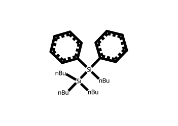 CCCC[Si](CCCC)(CCCC)[Si](CCCC)(c1ccccc1)c1ccccc1